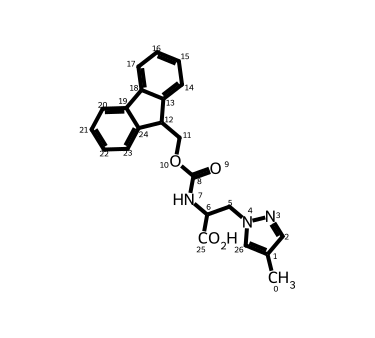 Cc1cnn(CC(NC(=O)OCC2c3ccccc3-c3ccccc32)C(=O)O)c1